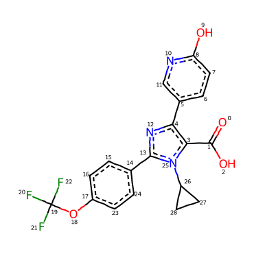 O=C(O)c1c(-c2ccc(O)nc2)nc(-c2ccc(OC(F)(F)F)cc2)n1C1CC1